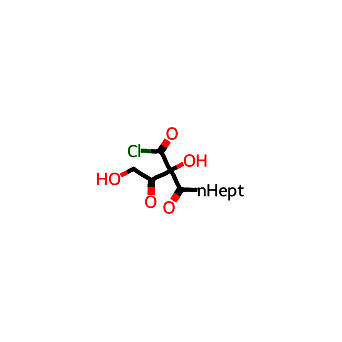 CCCCCCCC(=O)C(O)(C(=O)Cl)C(=O)CO